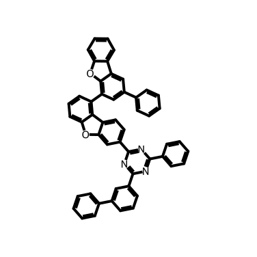 c1ccc(-c2cccc(-c3nc(-c4ccccc4)nc(-c4ccc5c(c4)oc4cccc(-c6cc(-c7ccccc7)cc7c6oc6ccccc67)c45)n3)c2)cc1